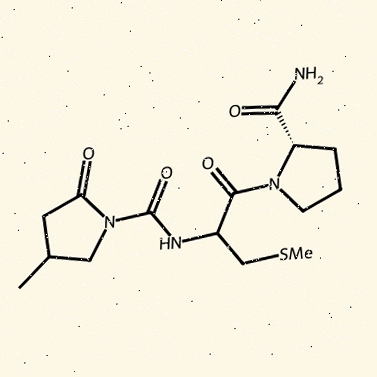 CSCC(NC(=O)N1CC(C)CC1=O)C(=O)N1CCC[C@H]1C(N)=O